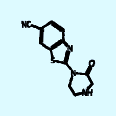 N#Cc1ccc2nc(N3CCNCC3=O)sc2c1